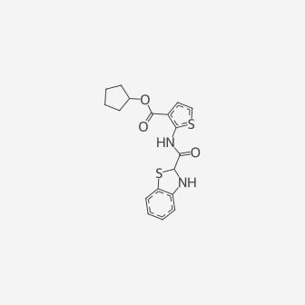 O=C(OC1CCCC1)c1ccsc1NC(=O)C1Nc2ccccc2S1